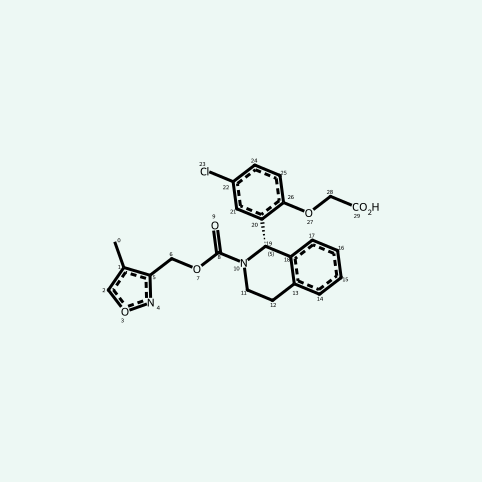 Cc1conc1COC(=O)N1CCc2ccccc2[C@H]1c1cc(Cl)ccc1OCC(=O)O